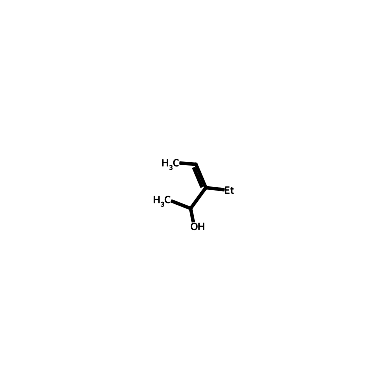 CC=C(CC)C(C)O